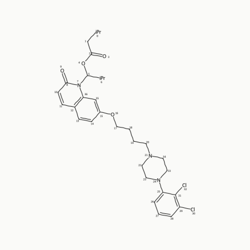 CC(C)CC(=O)OC(C(C)C)n1c(=O)ccc2ccc(OCCCCN3CCN(c4cccc(Cl)c4Cl)CC3)cc21